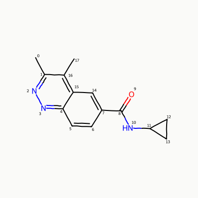 Cc1nnc2ccc(C(=O)NC3CC3)cc2c1C